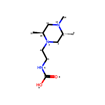 C[C@@H]1CN(CCNC(=O)O)[C@@H](C)CN1C